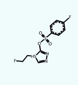 O=S(=O)(OC1=NN=C[SH]1CCF)c1ccc(F)cc1